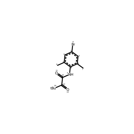 Cc1cc(Br)cc(C)c1NC(=O)C(=O)C(C)(C)C